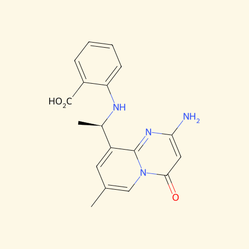 Cc1cc([C@@H](C)Nc2ccccc2C(=O)O)c2nc(N)cc(=O)n2c1